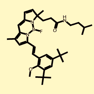 COc1c(/C=C/c2cc(C)c3n2B(F)N2C(=C3)C=CC2(C)CCC(=O)NCCC(C)C)cc(C(C)(C)C)cc1C(C)(C)C